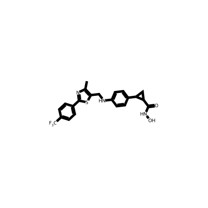 Cc1nc(-c2ccc(C(F)(F)F)cc2)sc1CNc1ccc(C2CC2C(=O)NO)cc1